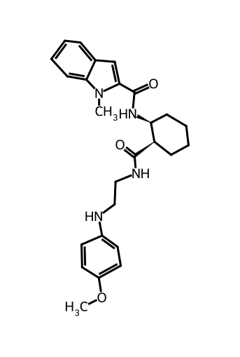 COc1ccc(NCCNC(=O)[C@@H]2CCCC[C@@H]2NC(=O)c2cc3ccccc3n2C)cc1